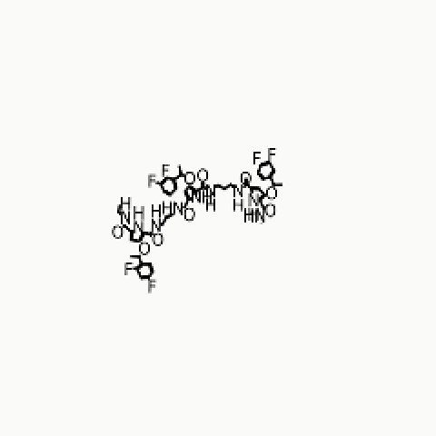 CCNC(=O)c1cc(OC(C)c2ccc(F)cc2F)c(C(=O)NCCCNC(=O)c2cc(OC(C)c3cccc(F)c3F)c(C(=O)NCCCNC(=O)c3cc(OC(C)c4ccc(F)c(F)c4)c(C(=O)NC)[nH]3)[nH]2)[nH]1